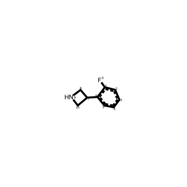 Fc1ccccc1C1CNC1